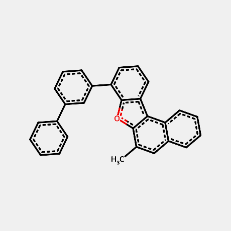 Cc1cc2ccccc2c2c1oc1c(-c3cccc(-c4ccccc4)c3)cccc12